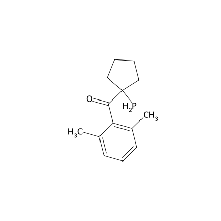 Cc1cccc(C)c1C(=O)C1(P)CCCC1